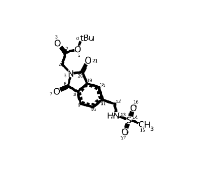 CC(C)(C)OC(=O)CN1C(=O)c2ccc(CNS(C)(=O)=O)cc2C1=O